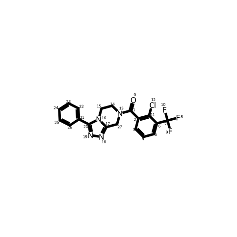 O=C(c1cccc(C(F)(F)F)c1Cl)N1CCn2c(nnc2-c2ccccc2)C1